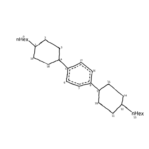 CCCCCCC1CCC(c2ccc(C3CCC(CCCCCC)CC3)cc2)CC1